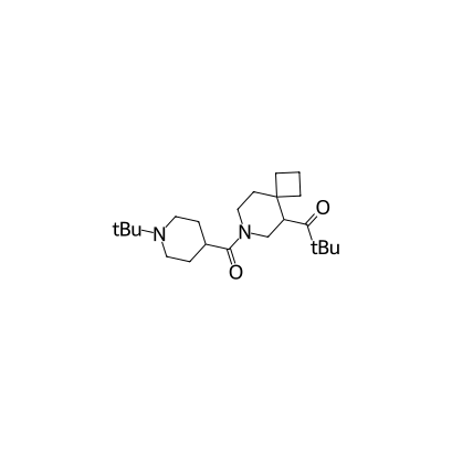 CC(C)(C)C(=O)C1CN(C(=O)C2CCN(C(C)(C)C)CC2)CCC12CCC2